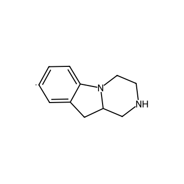 [c]1ccc2c(c1)CC1CNCCN21